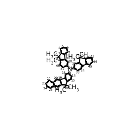 CC1(C)c2ccccc2-c2cc(N(c3ccc4c(c3)-c3cc5ccccc5cc3C4(C)C)c3ccc4c(c3)C(C)(C)c3ccccc3-4)ccc21